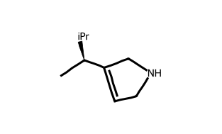 CC(C)[C@H](C)C1=CCNC1